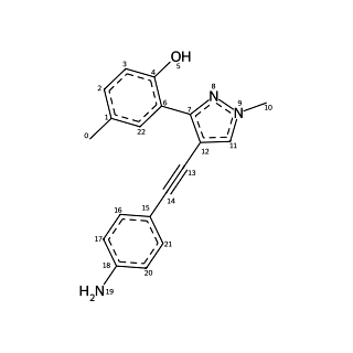 Cc1ccc(O)c(-c2nn(C)cc2C#Cc2ccc(N)cc2)c1